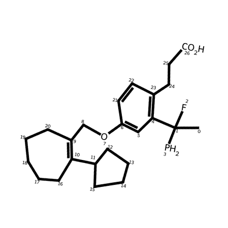 CC(F)(P)c1cc(OCC2=C(C3CCCC3)CCCCC2)ccc1CCC(=O)O